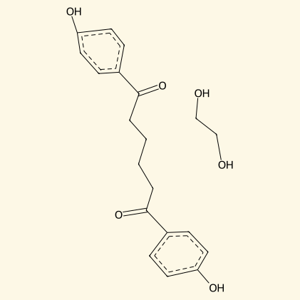 O=C(CCCCC(=O)c1ccc(O)cc1)c1ccc(O)cc1.OCCO